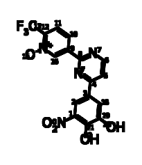 O=[N+]([O-])c1cc(-c2ccnc(-c3ccc(C(F)(F)F)[n+]([O-])c3)n2)cc(O)c1O